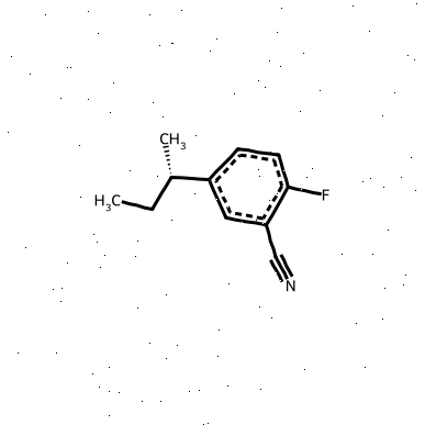 CC[C@H](C)c1ccc(F)c(C#N)c1